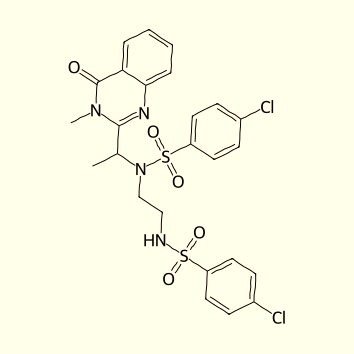 CC(c1nc2ccccc2c(=O)n1C)N(CCNS(=O)(=O)c1ccc(Cl)cc1)S(=O)(=O)c1ccc(Cl)cc1